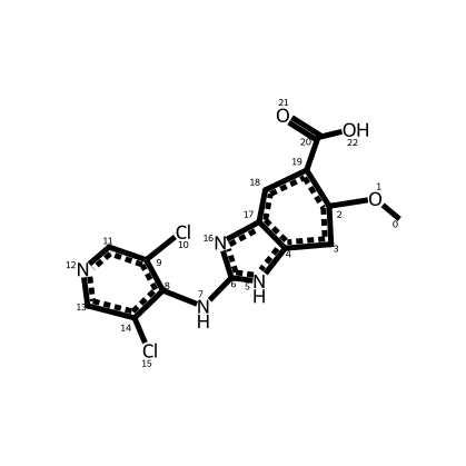 COc1cc2[nH]c(Nc3c(Cl)cncc3Cl)nc2cc1C(=O)O